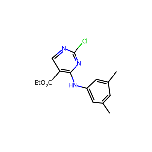 CCOC(=O)c1cnc(Cl)nc1Nc1cc(C)cc(C)c1